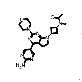 CC(=O)N(C)[C@H]1C[C@@H](N2CCc3c(-c4cnc(N)nc4)nc(N4CCOCC4)nc32)C1